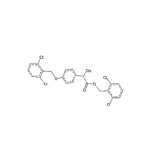 O=C(OCc1c(Cl)cccc1Cl)C(O)c1ccc(OCc2c(Cl)cccc2Cl)cc1